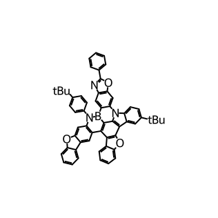 CC(C)(C)c1ccc(N2B3c4cc5nc(-c6ccccc6)oc5cc4-n4c5ccc(C(C)(C)C)cc5c5c6oc7ccccc7c6c(c3c54)-c3cc4c(cc32)oc2ccccc24)cc1